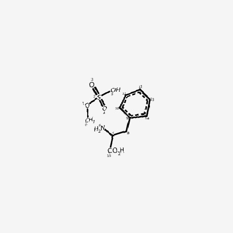 COS(=O)(=O)O.NC(Cc1ccccc1)C(=O)O